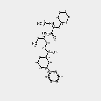 O=C(O)NC(CC1CCCCC1)C(=O)NC(CO)CCC(=O)N1CCCC(c2ccccc2)C1